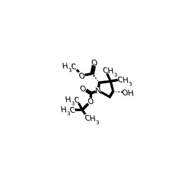 COC(=O)[C@H]1N(C(=O)OC(C)(C)C)C[C@@H](O)C1(C)C